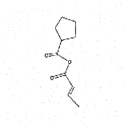 CC=CC(=O)OC(=O)C1CCCC1